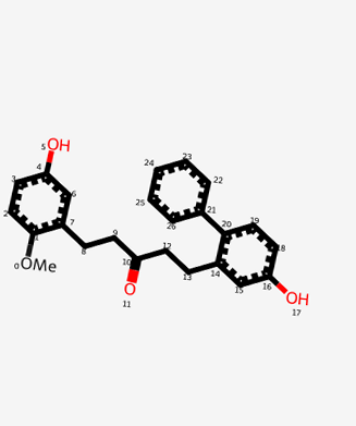 COc1ccc(O)cc1CCC(=O)CCc1cc(O)ccc1-c1ccccc1